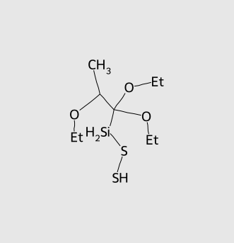 CCOC(C)C(OCC)(OCC)[SiH2]SS